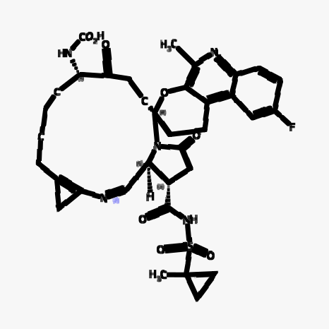 Cc1nc2ccc(F)cc2c2c1O[C@@]1(CCC(=O)[C@@H](NC(=O)O)CCCCC3=C(C3)/N=C\[C@@H]3[C@@H](C(=O)NS(=O)(=O)C4(C)CC4)CC(=O)N31)CC2